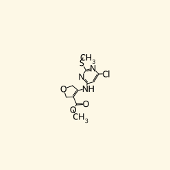 COC(=O)C1=C(Nc2cc(Cl)nc(SC)n2)COC1